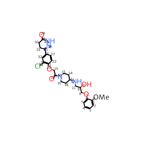 COc1ccccc1OCC(O)CNC1CCN(C(=O)COc2ccc(C3=NNC(=O)CC3)cc2Cl)CC1